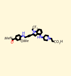 CNC(=O)c1ccc(NCC#Cc2cc3c(NC4CCN(CCC(=O)O)CC4)cccc3n2CC(F)(F)F)c(OC)c1